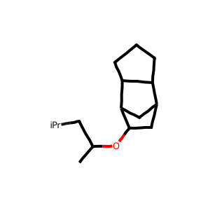 CC(C)CC(C)OC1CC2CC1C1CCCC21